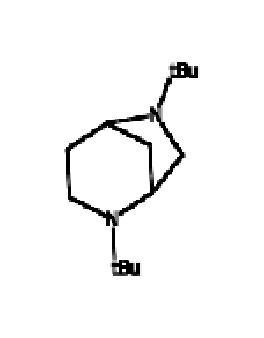 CC(C)(C)N1CCC2CC1CN2C(C)(C)C